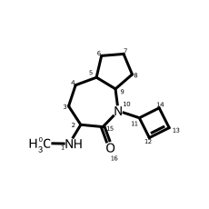 CNC1CCC2CCCC2N(C2C=CC2)C1=O